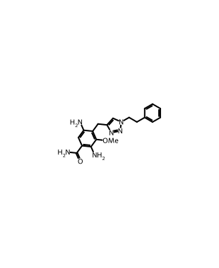 COc1c(N)c(C(N)=O)cc(N)c1Cc1cn(CCc2ccccc2)nn1